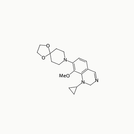 COc1c(N2CCC3(CC2)OCCO3)ccc2c1N(C1CC1)CN=C2